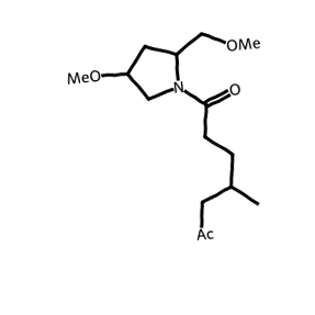 COCC1CC(OC)CN1C(=O)CCC(C)CC(C)=O